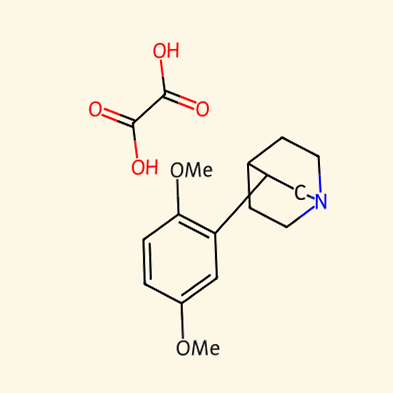 COc1ccc(OC)c(C2CN3CCC2CC3)c1.O=C(O)C(=O)O